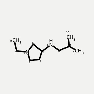 CCN1CCC(NCC(C)C)C1